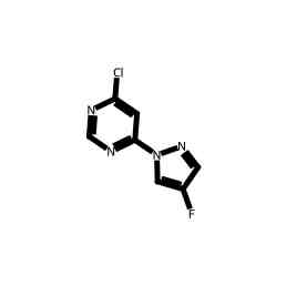 Fc1cnn(-c2cc(Cl)ncn2)c1